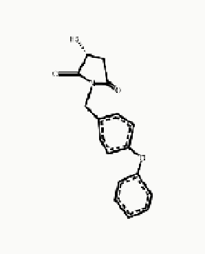 O=C1C[C@@H](S)C(=O)N1Cc1ccc(Oc2ccccc2)cc1